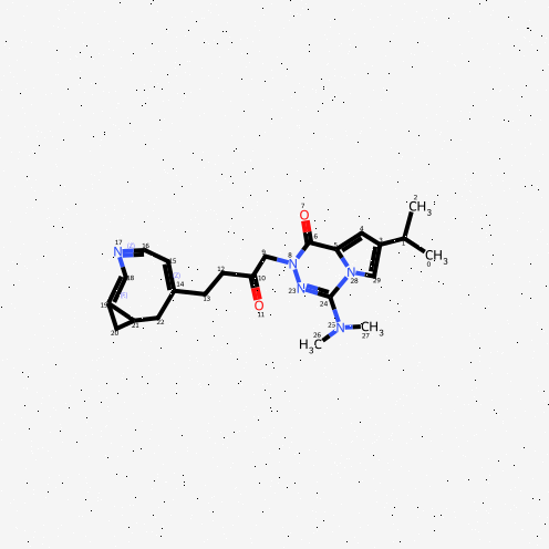 CC(C)c1cc2c(=O)n(CC(=O)CC/C3=C/C=N\C=C4/CC4C3)nc(N(C)C)n2c1